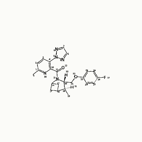 Cc1ccc(-n2nccn2)c(C(=O)N2C3CC(C3)[C@H](C)[C@H]2COc2ccc(F)cc2)n1